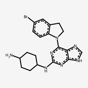 NC1CCC(Nc2nc(N3CCc4cc(Br)ccc43)c3nc[nH]c3n2)CC1